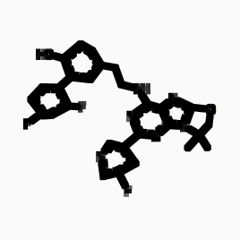 CC1(C)COc2nc3c(NCCc4ccc(O)c(-c5ccc(F)cc5F)c4)nc(-c4cncc(F)c4)nc3n21